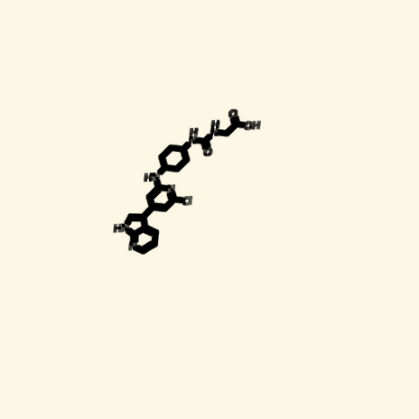 O=C(O)CNC(=O)NC1CCC(Nc2cc(-c3c[nH]c4ncccc34)cc(Cl)n2)CC1